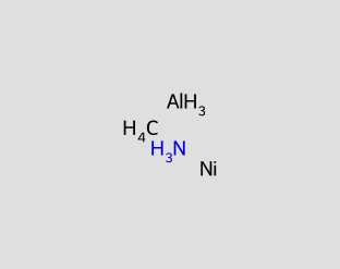 C.N.[AlH3].[Ni]